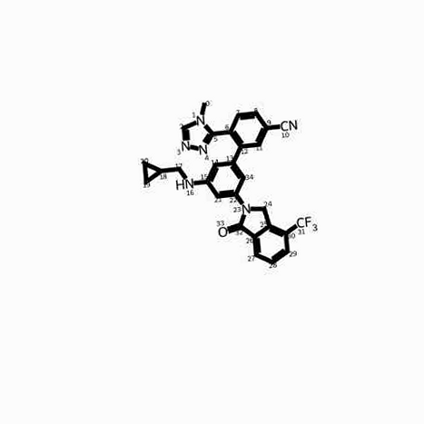 Cn1cnnc1-c1ccc(C#N)cc1-c1cc(NCC2CC2)cc(N2Cc3c(cccc3C(F)(F)F)C2=O)c1